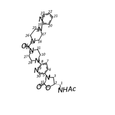 CC(=O)NC[C@H]1CN(c2ccc(N3CCN(C(=O)N4CCN(c5ccccn5)CC4)CC3)nc2)C(=O)O1